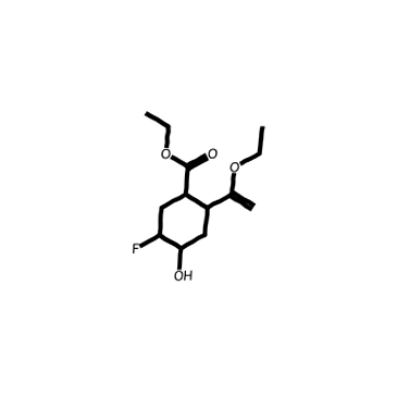 C=C(OCC)C1CC(O)C(F)CC1C(=O)OCC